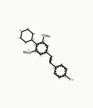 COc1cc(/C=C/c2ccc(F)cc2)cc(OC)c1C1CCCCC1